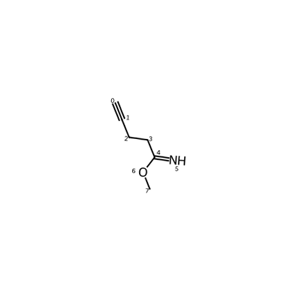 C#CCCC(=N)OC